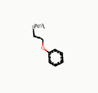 CCCCCCCOc1cc[c]cc1